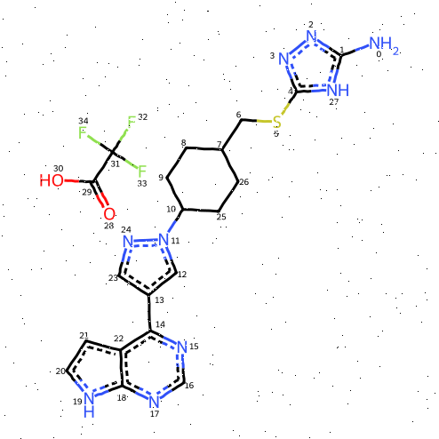 Nc1nnc(SCC2CCC(n3cc(-c4ncnc5[nH]ccc45)cn3)CC2)[nH]1.O=C(O)C(F)(F)F